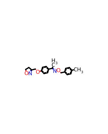 C/C(=N\OCc1ccc(C)cc1)c1ccc(OCC2=NOCC2)cc1